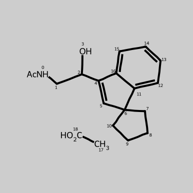 CC(=O)NCC(O)C1=CC2(CCCC2)c2ccccc21.CC(=O)O